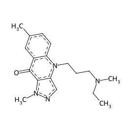 CCN(C)CCCn1c2ccc(C)cc2c(=O)c2c1cnn2C